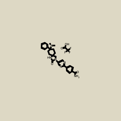 CN(C)C1(c2ccccc2)CCC2(CC1)CN(c1cnc(-c3ccc(C(N)=O)cc3)nc1)C(=O)N2.O=C(O)C(F)(F)F